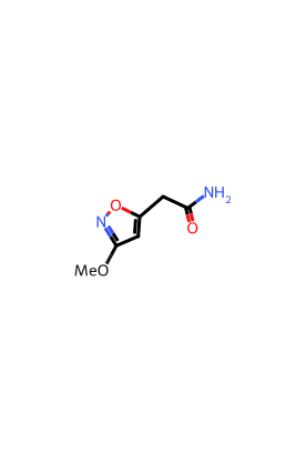 COc1cc(CC(N)=O)on1